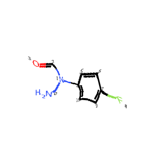 NN(C=O)c1ccc(F)cc1